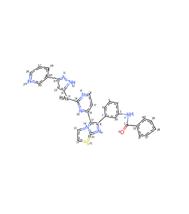 O=C(Nc1cccc(-c2nc3sccn3c2-c2ccnc([AsH]c3cc(-c4cccnc4)n[nH]3)n2)c1)c1ccccc1